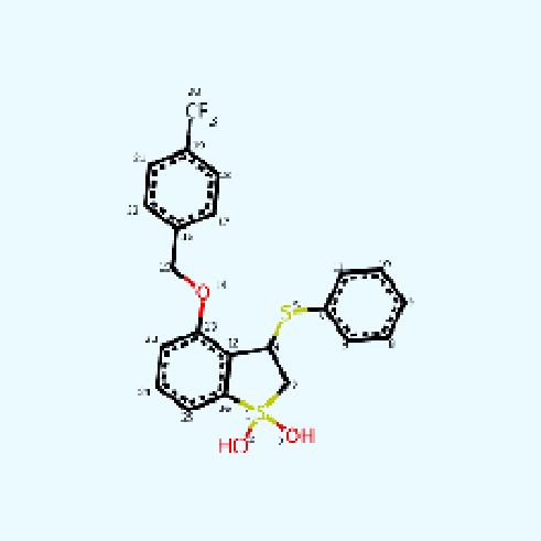 OS1(O)CC(Sc2ccccc2)c2c(OCc3ccc(C(F)(F)F)cc3)cccc21